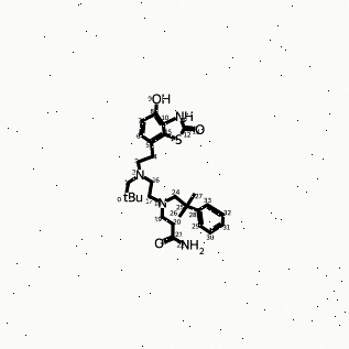 CC(C)(C)CN(CCc1ccc(O)c2[nH]c(=O)sc12)CCN(CCC(N)=O)CC(C)(C)c1ccccc1